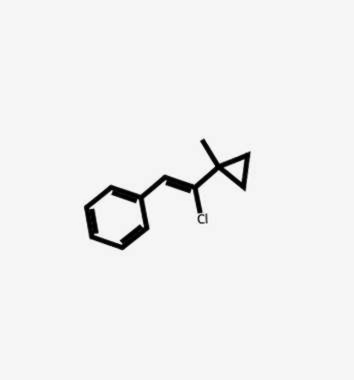 CC1(C(Cl)=Cc2ccccc2)CC1